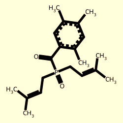 CC(C)=CCP(=O)(CC=C(C)C)C(=O)c1cc(C)c(C)cc1C